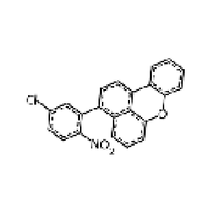 O=[N+]([O-])c1ccc(Cl)cc1-c1ccc2c3c(cccc13)Oc1ccccc1-2